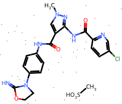 CS(=O)(=O)O.Cn1cc(C(=O)Nc2ccc(N3CCOC3=N)cc2)c(NC(=O)c2ccc(Cl)cn2)n1